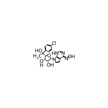 CC(O)(c1ccc(Cl)cc1)[C@H]1O[C@@H](n2ccc3c(=NO)nc[nH]c32)[C@H](O)[C@@H]1O